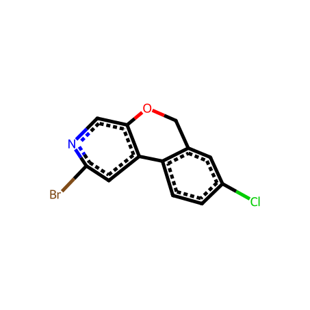 Clc1ccc2c(c1)COc1cnc(Br)cc1-2